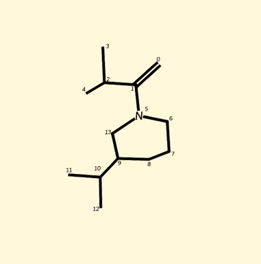 C=C(C(C)C)N1CCCC(C(C)C)C1